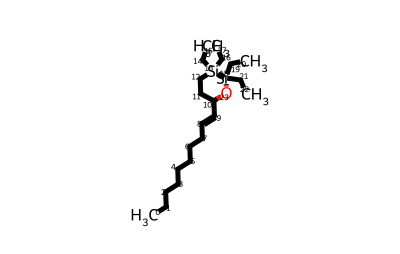 CCCCCCCCC=CC1CC[Si](CC)(CC)[Si](CC)(CC)O1